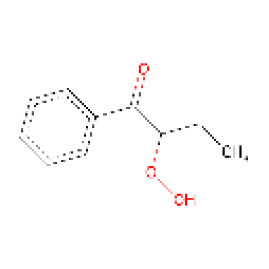 CCC(OO)C(=O)c1ccccc1